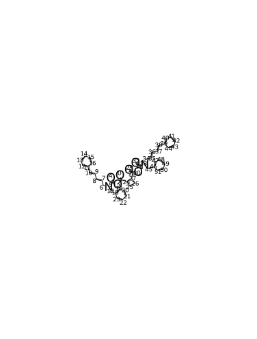 O=C(OC(=O)N(CC=CC=Cc1ccccc1)Cc1ccccc1)C1CCC1C(=O)OC(=O)N(CC=CC=Cc1ccccc1)Cc1ccccc1